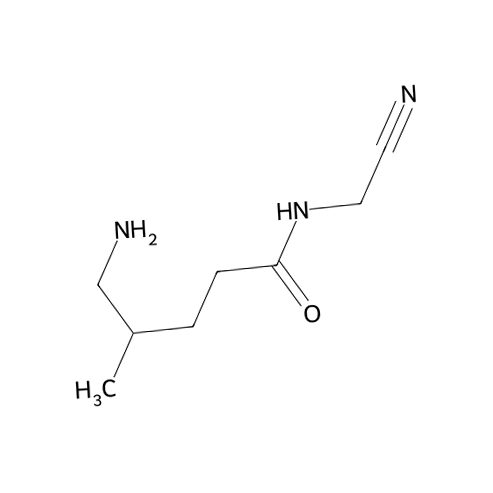 CC(CN)CCC(=O)NCC#N